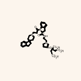 O=C(NCCN1CCCC1)[C@@H]1Cc2ccccc2N1C(=O)CCN1CCC2(CCc3ccccc32)CC1.O=C(O)CC(O)(CC(=O)O)C(=O)O